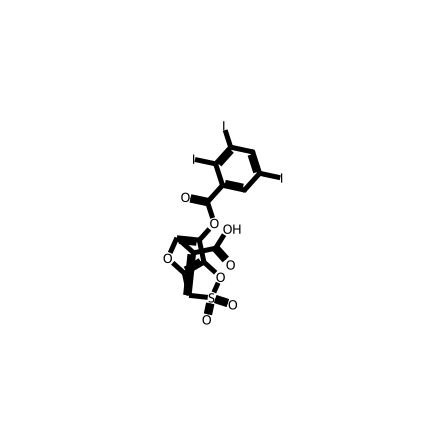 O=C(Oc1c2c3oc1c(C(=O)O)c3S(=O)(=O)O2)c1cc(I)cc(I)c1I